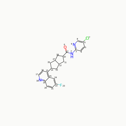 O=C(Nc1ccc(Cl)cn1)C1CC2CC(c3ccnc4ccc(F)cc34)CC2C1